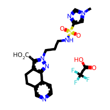 Cn1cnc(S(=O)(=O)NCCCn2nc3c(c2C(=O)O)CCc2cnccc2-3)c1.O=C(O)C(F)(F)F